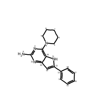 Nc1nc(N2CCCCC2)c2[nH]c(-c3ccccc3)cc2n1